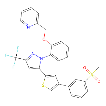 CS(=O)(=O)c1cccc(-c2csc(-c3cc(C(F)(F)F)nn3-c3ccccc3OCc3ccccn3)c2)c1